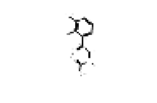 NC1=NN=C(c2cccc(Cl)c2Cl)CN1N